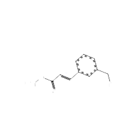 CC(C)(C)OC(=O)/C=C/c1cccc(CCl)c1